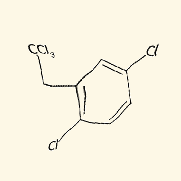 Clc1ccc(Cl)c(CC(Cl)(Cl)Cl)c1